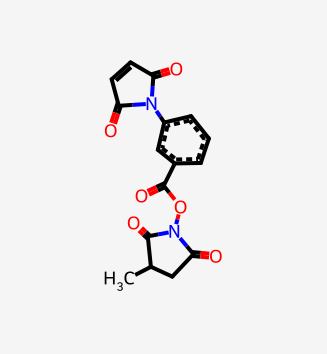 CC1CC(=O)N(OC(=O)c2cccc(N3C(=O)C=CC3=O)c2)C1=O